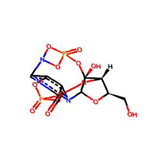 O=c1nc2c3c4n1C1O[C@H](CO)[C@H](OOP(=O)(O3)O4)[C@@]1(O)OP1(=O)ON2O1